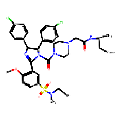 CCOc1ccc(S(=O)(=O)N(C)CC(C)C)cc1C1=NC(c2ccc(Cl)cc2)C(c2ccc(Cl)cc2)N1C(=O)N1CCN(CC(=O)NC(C)COC)CC1